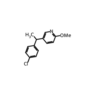 COc1ccc(C(C)c2ccc(Cl)cc2)cn1